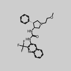 COCCN1C[C@@H](NC(=O)Nc2cc3ccccc3nc2C(F)(F)F)[C@H](c2ccccc2)C1